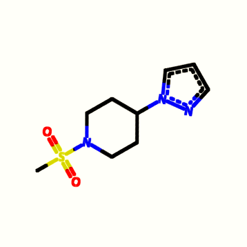 CS(=O)(=O)N1CCC(n2cccn2)CC1